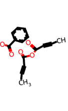 CC#CC(=O)OC(=O)C#CC.O=C(O)c1ccccc1